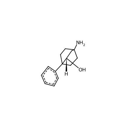 NC12CCC(c3ccccc3)(CC1)[C@@H](O)C2